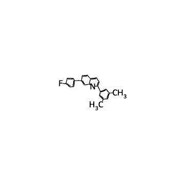 Cc1cc(C)cc(-c2ccc3ccc(-c4ccc(F)cc4)cc3n2)c1